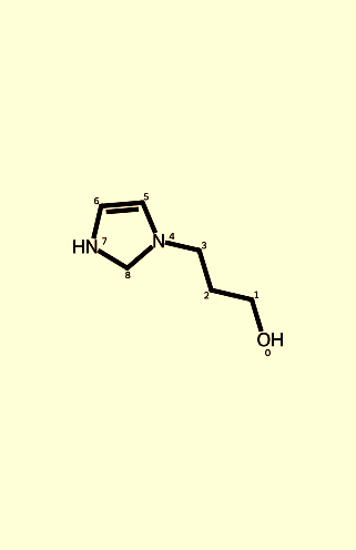 OCCCN1C=CNC1